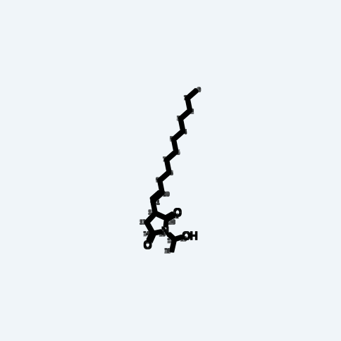 CCCCCCCCCCC=CC1CC(=O)N(C(C)O)C1=O